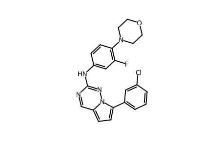 Fc1cc(Nc2ncc3ccc(-c4cccc(Cl)c4)n3n2)ccc1N1CCOCC1